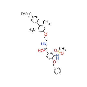 CCOC(=O)c1ccc(-c2c(C)cc(OCCNC[C@H](O)c3ccc(OCc4ccccc4)c(NS(C)(=O)=O)c3)cc2C)cc1